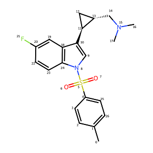 Cc1ccc(S(=O)(=O)n2cc([C@H]3C[C@@H]3CN(C)C)c3cc(F)ccc32)cc1